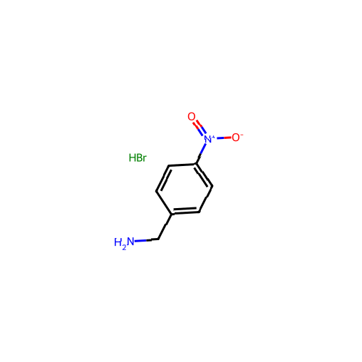 Br.NCc1ccc([N+](=O)[O-])cc1